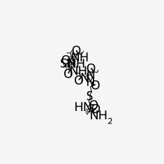 CCC(=O)N[C@@H](C(=O)N[C@H](CS)C(=O)NCCC(=O)N1CN(C(=O)CC)CN(C(=O)CCSCCC(=O)N[C@H](C)C(N)=O)C1)C(C)C